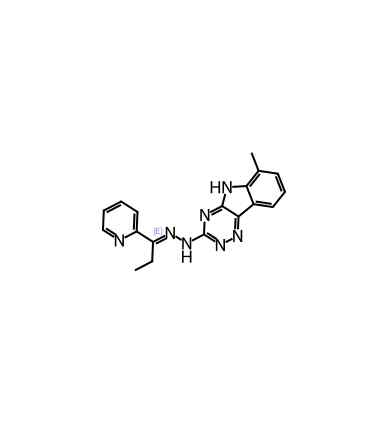 CC/C(=N\Nc1nnc2c(n1)[nH]c1c(C)cccc12)c1ccccn1